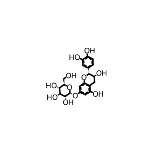 OC[C@H]1O[C@H](Oc2cc(O)c3c(c2)O[C@H](c2ccc(O)c(O)c2)[C@@H](O)C3)[C@H](O)[C@@H](O)[C@@H]1O